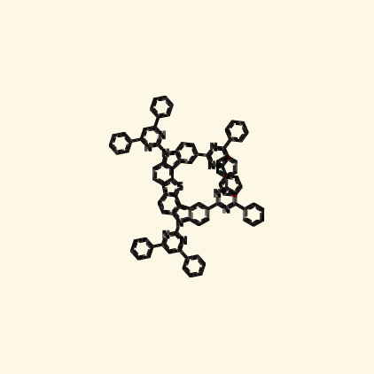 c1ccc(-c2cc(-c3ccccc3)nc(-c3ccc4c(c3)c3c5sc6c(ccc7c6c6cc(-c8nc(-c9ccccc9)cc(-c9ccccc9)n8)ccc6n7-c6nc(-c7ccccc7)cc(-c7ccccc7)n6)c5ccc3n4-c3nc(-c4ccccc4)cc(-c4ccccc4)n3)n2)cc1